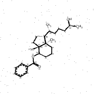 C[C@H](O)CCC[C@@H](C)[C@H]1CC[C@H]2C(OC(=O)c3ccccc3)CCC[C@]12C